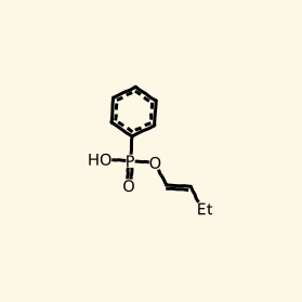 CCC=COP(=O)(O)c1ccccc1